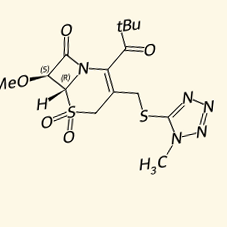 CO[C@H]1C(=O)N2C(C(=O)C(C)(C)C)=C(CSc3nnnn3C)CS(=O)(=O)[C@H]12